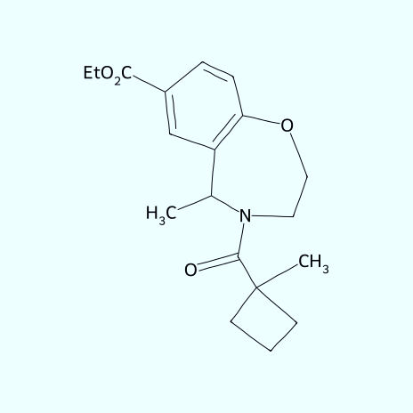 CCOC(=O)c1ccc2c(c1)C(C)N(C(=O)C1(C)CCC1)CCO2